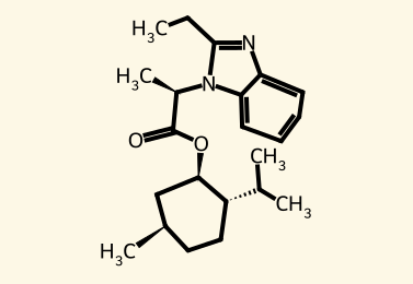 CCc1nc2ccccc2n1[C@H](C)C(=O)O[C@@H]1C[C@H](C)CC[C@H]1C(C)C